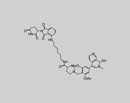 COc1cc(C2=CN(C)C(O)c3cnccc32)cc(OC)c1CN1CCC(C(=O)NCCCCCCNc2cccc3c2C(=O)N(C2CCC(=O)NC2=O)C3=O)CC1